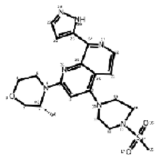 C[C@@H]1COCCN1c1cc(N2CCN(S(C)(=O)=O)CC2)c2ccnc(-c3ccn[nH]3)c2n1